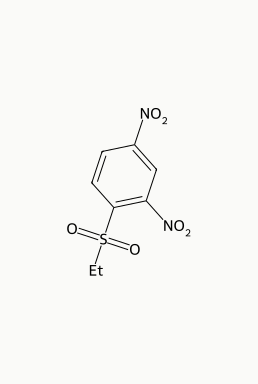 [CH2]CS(=O)(=O)c1ccc([N+](=O)[O-])cc1[N+](=O)[O-]